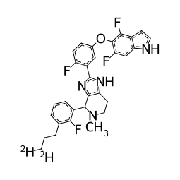 [2H]C([2H])CCc1cccc(C2c3nc(-c4cc(Oc5c(F)cc6[nH]ccc6c5F)ccc4F)[nH]c3CCN2C)c1F